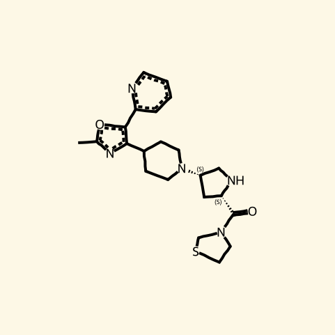 Cc1nc(C2CCN([C@@H]3CN[C@H](C(=O)N4CCSC4)C3)CC2)c(-c2ccccn2)o1